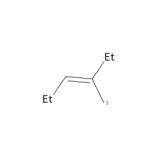 [CH]C(=CCC)CC